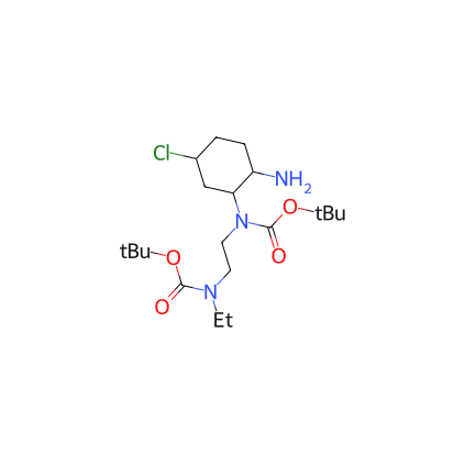 CCN(CCN(C(=O)OC(C)(C)C)C1CC(Cl)CCC1N)C(=O)OC(C)(C)C